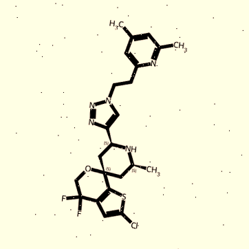 Cc1cc(C)nc(CCn2cc([C@@H]3C[C@]4(C[C@H](C)N3)OCC(F)(F)c3cc(Cl)sc34)nn2)c1